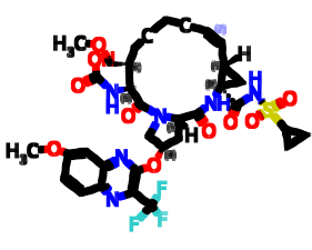 COC[C@@H]1CCCC/C=C\[C@@H]2C[C@@]2(C(=O)NS(=O)(=O)C2CC2)NC(=O)[C@@H]2C[C@@H](Oc3nc4cc(OC)ccc4nc3C(F)(F)F)CN2C(=O)[C@H]1NC(=O)O